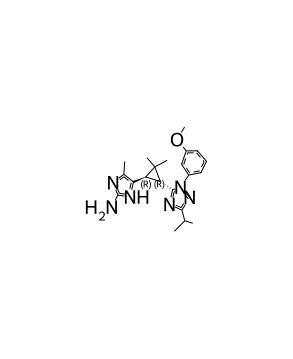 COc1cccc(-n2nc(C(C)C)nc2[C@@H]2[C@@H](c3[nH]c(N)nc3C)C2(C)C)c1